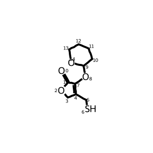 O=C1OCC(CS)=C1OC1CCCCO1